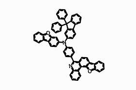 c1ccc(C2(c3ccccc3)c3ccccc3-c3ccc(N(c4ccc(-c5nc6ccccc6c6c5ccc5c7ccccc7oc56)cc4)c4ccc5c(c4)oc4ccccc45)cc32)cc1